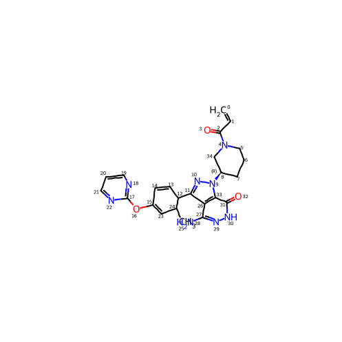 C=CC(=O)N1CCC[C@@H](n2nc(C3C=CC(Oc4ncccn4)=CC3C)c3c(N)n[nH]c(=O)c32)C1